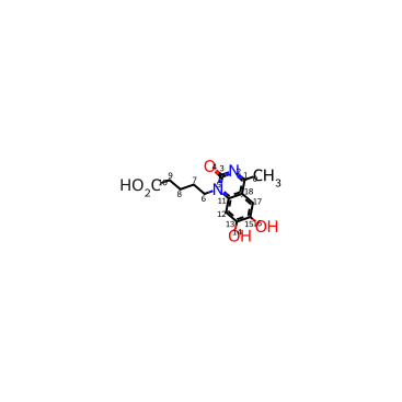 Cc1nc(=O)n(CCCCC(=O)O)c2cc(O)c(O)cc12